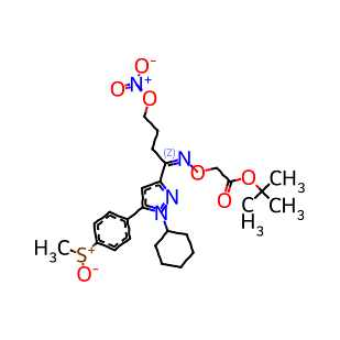 C[S+]([O-])c1ccc(-c2cc(/C(CCCO[N+](=O)[O-])=N\OCC(=O)OC(C)(C)C)nn2C2CCCCC2)cc1